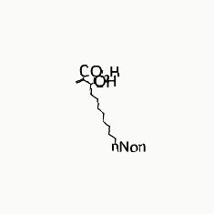 C=C(C(=O)O)C(O)CCCCCCCCCCCCCCCCC